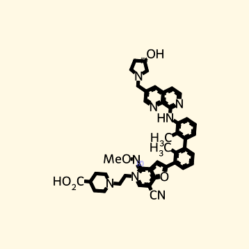 CO/N=c1/c2cc(-c3cccc(-c4cccc(Nc5nccc6cc(CN7CC[C@@H](O)C7)cnc56)c4C)c3C)oc2c(C#N)cn1CCN1CCC(C(=O)O)CC1